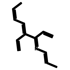 C=CC(=C\C=C/C)/C(C=C)=N/C=C/C